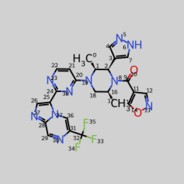 C[C@H]1[C@@H](c2cn[nH]c2)N(C(=O)c2cnoc2)[C@@H](C)CN1c1ccnc(-c2cnc3cnc(C(F)(F)F)cn23)n1